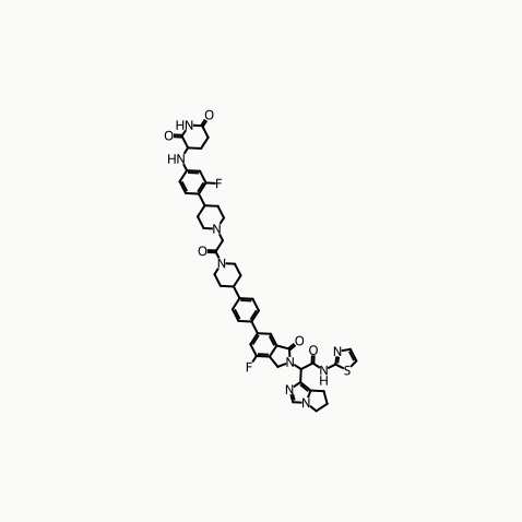 O=C1CCC(Nc2ccc(C3CCN(CC(=O)N4CCC(c5ccc(-c6cc(F)c7c(c6)C(=O)N(C(C(=O)Nc6nccs6)c6ncn8c6CCC8)C7)cc5)CC4)CC3)c(F)c2)C(=O)N1